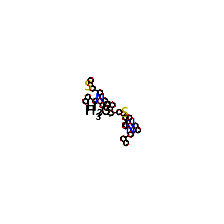 CC1(C)c2cccc(-c3ccc4sc5ccc(-c6cccc(N(c7cc(-c8cccc9ccccc89)ccc7-c7ccccc7)c7ccccc7-n7c8ccccc8c8ccccc87)c6)cc5c4c3)c2-c2cccc(-c3ccc(N(c4cccc(-c5ccc6sc7ccccc7c6c5)c4)c4cc(-c5cccc6ccccc56)ccc4-c4ccccc4)cc3)c21